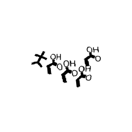 C=CC(=O)O.C=CC(=O)O.C=CC(=O)O.C=CC(=O)O.CC(C)C(C)(C)C